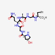 CC(C)C[C@H](NC(=O)CNC(=O)[C@H](C)NC(=O)[C@H](CCC(N)=O)NC(=O)CNC(=O)[C@@H]1C[C@@H](O)CN1)C(=O)O